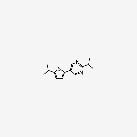 CC(C)c1ncc(-c2ccc(C(C)C)s2)cn1